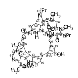 CCn1c(-c2cccnc2[C@H](C)OC)c2c3cc(ccc31)-c1cc(O)cc(c1)C[C@H](NC(=O)[C@H](C(C)C)N(C)C(=O)CN(C)C(=O)[C@H]1CN1C(C)C)C(=O)N1CCC[C@H](N1)C(=O)OCC(C)(C)C2